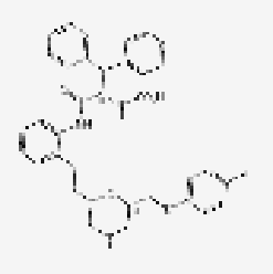 O=C(O)N[C@H](C(=O)Nc1ccccc1CCC1CNC[C@@H](CSc2ccc(Cl)cc2)O1)C(c1ccccc1)c1ccccc1